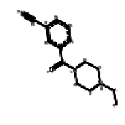 CCN1CCN(C(=O)c2cccc(C#N)c2)CC1